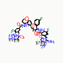 CCC1(CC)CC(=O)N(Cc2cc(F)cc(C(=O)NC3c4cc(F)ccc4OC(C)(Cc4ccc5c(c4)[C@@H](NC(=O)c4cc(F)cc(CN6C(=N)NC(CC)(CC)C(C)C6=O)c4)CCO5)C3O)c2)C(=N)N1